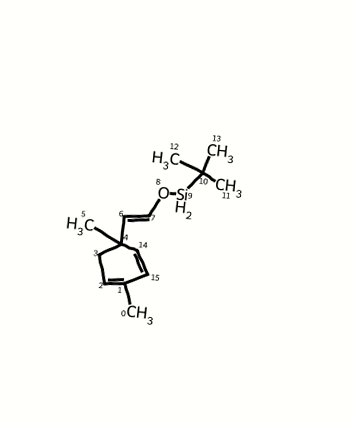 CC1=CCC(C)(C=CO[SiH2]C(C)(C)C)C=C1